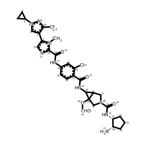 Cn1c(-c2cn(C3CC3)nc2C(F)(F)F)cnc1C(=O)Nc1ccc(C(=O)NC2C3CN(C(=O)N[C@@H]4CCC[C@@H]4N)CC32OC=O)c(Cl)c1